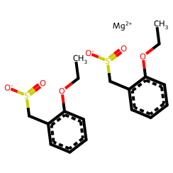 CCOc1ccccc1CS(=O)[O-].CCOc1ccccc1CS(=O)[O-].[Mg+2]